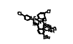 CCOc1cc(C(C)(C)C)ccc1C1=NC(c2ccc(Cl)cc2)[C@](C)(c2ccc(Cl)cc2)N1C(=O)N1CCNC(=O)C1